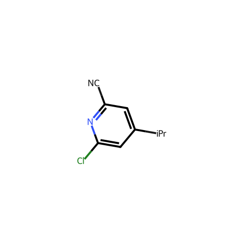 CC(C)c1cc(Cl)nc(C#N)c1